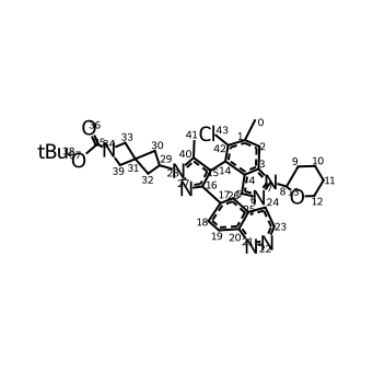 Cc1cc2c(cnn2C2CCCCO2)c(-c2c(-c3ccc4nnccc4c3)nn(C3CC4(C3)CN(C(=O)OC(C)(C)C)C4)c2C)c1Cl